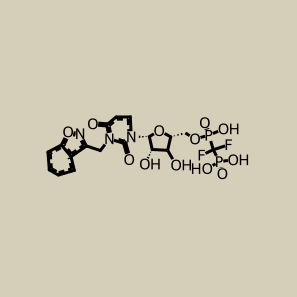 O=c1ccn([C@@H]2O[C@H](COP(=O)(O)C(F)(F)P(=O)(O)O)C(O)[C@@H]2O)c(=O)n1Cc1noc2ccccc12